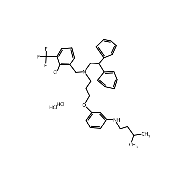 CC(C)CCNc1cccc(OCCCN(Cc2cccc(C(F)(F)F)c2Cl)CC(c2ccccc2)c2ccccc2)c1.Cl.Cl